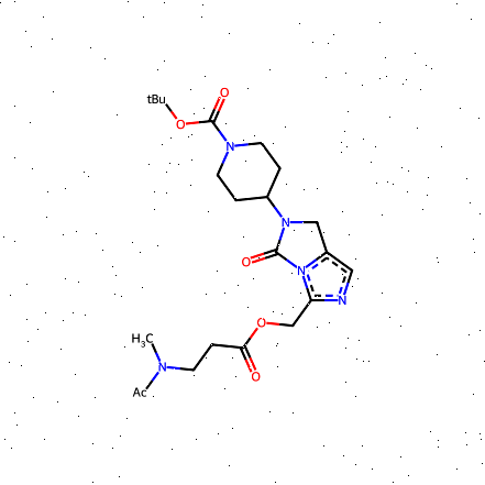 CC(=O)N(C)CCC(=O)OCc1ncc2n1C(=O)N(C1CCN(C(=O)OC(C)(C)C)CC1)C2